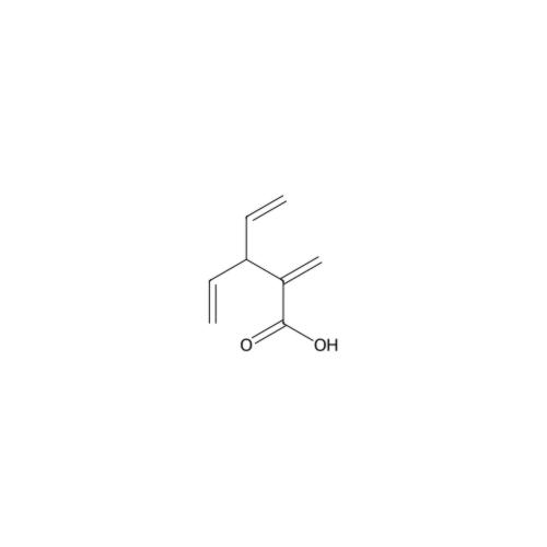 C=CC(C=C)C(=C)C(=O)O